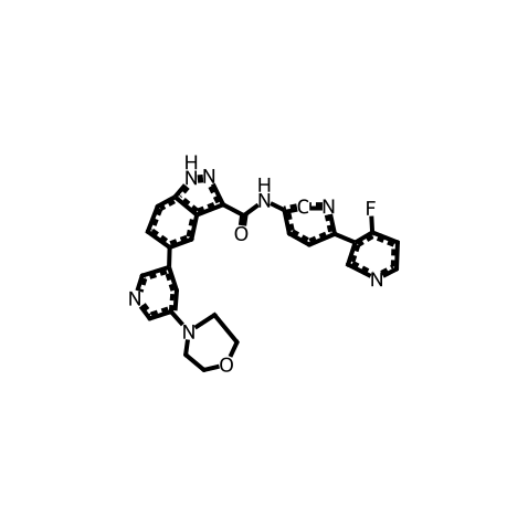 O=C(Nc1ccc(-c2cnccc2F)nc1)c1n[nH]c2ccc(-c3cncc(N4CCOCC4)c3)cc12